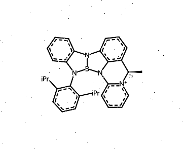 CC(C)c1cccc(C(C)C)c1N1B2N(c3ccccc31)c1cccc3c1N2c1cccc[n+]1[C@@H]3C